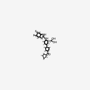 O=C(O)O.O=C(c1ccc(-c2ccc(Nc3nc4cc(F)c(F)cc4[nH]3)cc2)cc1)C1CCCC1